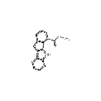 COC(=O)c1cccc2cn3c4nccnc4[nH][n+]3c12